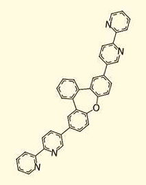 c1ccc(-c2ccc(-c3ccc4c(c3)-c3ccccc3-c3cc(-c5ccc(-c6ccccn6)nc5)ccc3O4)cn2)nc1